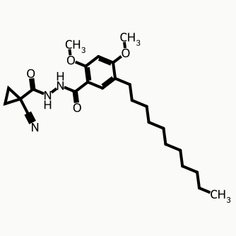 CCCCCCCCCCCc1cc(C(=O)NNC(=O)C2(C#N)CC2)c(OC)cc1OC